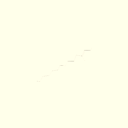 CCC=C(N)CCCCCCCCCCC